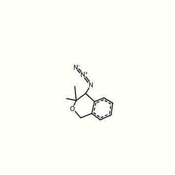 CC1(C)OCc2ccccc2C1N=[N+]=[N-]